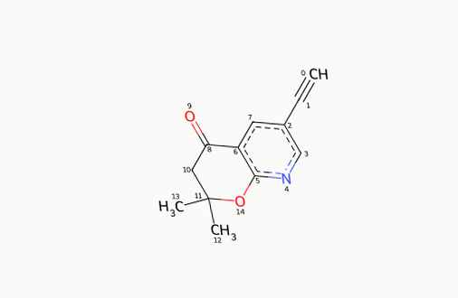 C#Cc1cnc2c(c1)C(=O)CC(C)(C)O2